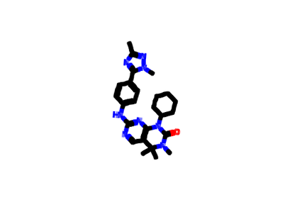 Cc1nc(-c2ccc(Nc3ncc4c(n3)N(C3CCCCC3)C(=O)N(C)C4(C)C)cc2)n(C)n1